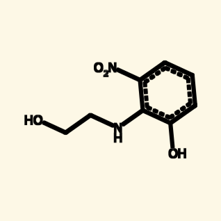 O=[N+]([O-])c1cccc(O)c1NCCO